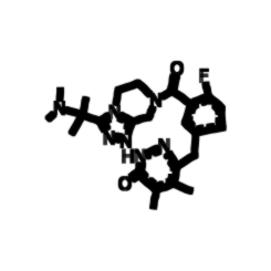 Cc1c(Cc2ccc(F)c(C(=O)N3CCn4c(nnc4C(C)(C)N(C)C)C3)c2)n[nH]c(=O)c1C